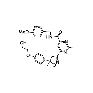 COc1ccc(CNC(=O)c2cc(C3=NOC(C)(c4ccc(OCCO)cc4)C3)nc(C)n2)cc1